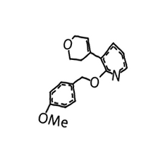 COc1ccc(COc2ncccc2C2=CCOCC2)cc1